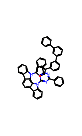 c1ccc(-c2cccc(-c3cccc(-c4ccc(-n5c6ccccc6c6ccc7c8ccccc8n(-c8nc(-c9ccccc9)nc(-c9ccccc9)n8)c7c65)cc4)c3)c2)cc1